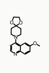 COc1ccc2nc[c]c(N3CCC4(CC3)OCCO4)c2c1